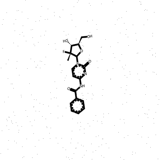 C[C@]1(F)C(n2ccc(NC(=O)c3ccccc3)nc2=O)O[C@H](CO)[C@H]1O